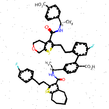 C[C@H](NC(=O)c1c(CCc2ccc(F)cc2)sc2c1CCCCC2)c1ccc(C(=O)O)c(-c2cc(F)ccc2CCc2sc3c(c2C(=O)N[C@@H](C)c2ccc(C(=O)O)cc2)CCOC3)c1